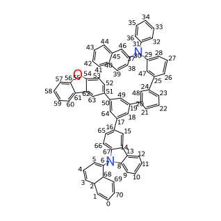 C1=CC2C=CC=C(n3c4ccccc4c4cc(-c5cc(-c6cccc(-c7cccc(N(c8ccccc8)c8ccc9ccccc9c8)c7)c6)cc(-c6ccc7oc8ccccc8c7c6)c5)ccc43)C2C=C1